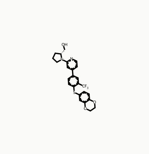 OC[C@H]1CCCN1c1cc(-c2ccc(Sc3ccc4c(c3)OCCO4)c(C(F)(F)F)c2)ccn1